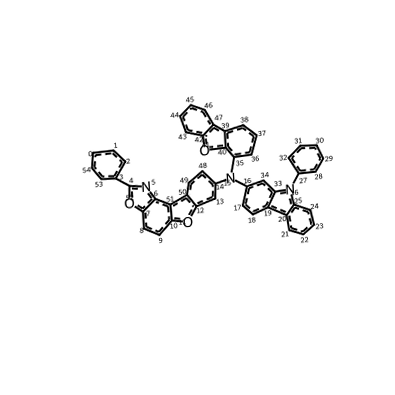 c1ccc(-c2nc3c(ccc4oc5cc(N(c6ccc7c8ccccc8n(-c8ccccc8)c7c6)c6cccc7c6oc6ccccc67)ccc5c43)o2)cc1